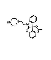 CC(=O)OC(C(=O)NCCN1CCNCC1)(c1ccccc1)c1ccccc1